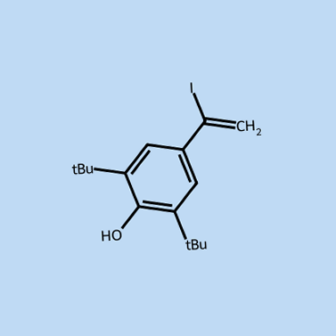 C=C(I)c1cc(C(C)(C)C)c(O)c(C(C)(C)C)c1